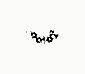 Nc1ccc(-c2ccnc(C(=O)Nc3cccc(-c4nncn4C4CC4)c3)c2)cn1